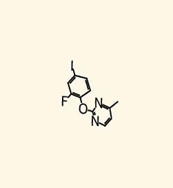 Cc1ccnc(Oc2ccc(I)cc2F)n1